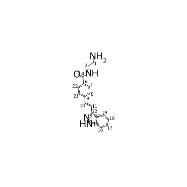 NCCNC(=O)c1ccc(C=Cc2n[nH]c3ccccc23)cc1